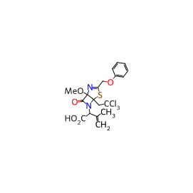 C=C(C)C(C(=O)O)N1C(=O)C2(OC)N=C(COc3ccccc3)SC12CC(Cl)(Cl)Cl